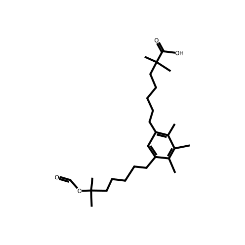 Cc1c(CCCCCC(C)(C)OC=O)cc(CCCCCC(C)(C)C(=O)O)c(C)c1C